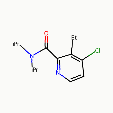 CCc1c(Cl)ccnc1C(=O)N(C(C)C)C(C)C